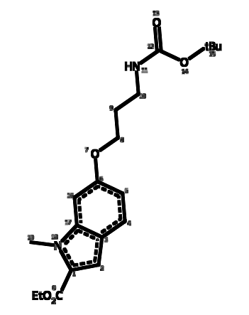 CCOC(=O)c1cc2ccc(OCCCNC(=O)OC(C)(C)C)cc2n1C